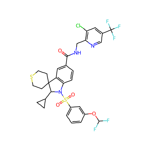 O=C(NCc1ncc(C(F)(F)F)cc1Cl)c1ccc2c(c1)C1(CCSCC1)C(C1CC1)N2S(=O)(=O)c1cccc(OC(F)F)c1